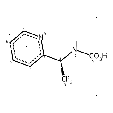 O=C(O)N[C@H](c1ccccn1)C(F)(F)F